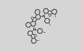 Cc1ccc(N(c2cc3c4cc(N(c5ccc(C)cc5)c5cccc6c5oc5c(C)cccc56)c5ccccc5c4oc3c3ccccc23)c2cccc3c2oc2c(C)cccc23)cc1